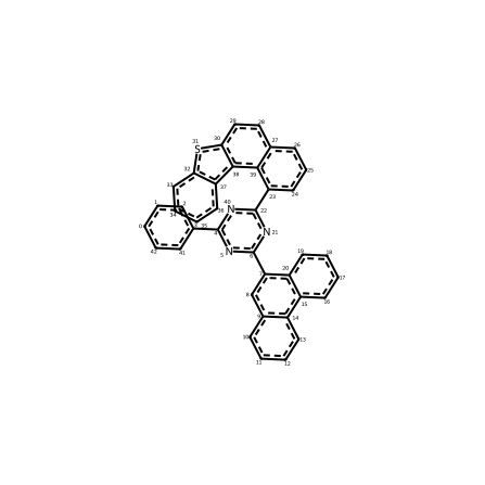 c1ccc(-c2nc(-c3cc4ccccc4c4ccccc34)nc(-c3cccc4ccc5sc6ccccc6c5c34)n2)cc1